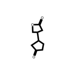 O=C1CCC(C2COC(=O)C2)C1